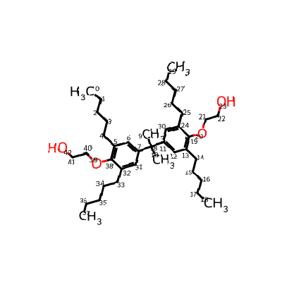 CCCCCc1cc(C(C)(C)c2cc(CCCCC)c(OCCO)c(CCCCC)c2)cc(CCCCC)c1OCCO